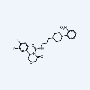 O=C1COCC(c2ccc(F)c(F)c2)N1C(=O)NCCCN1CCN(c2ccccc2[N+](=O)[O-])CC1